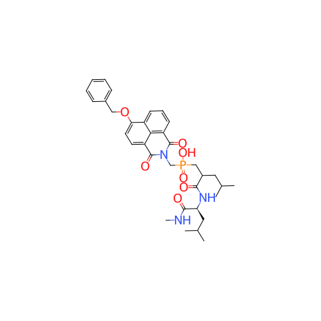 CNC(=O)[C@H](CC(C)C)NC(=O)C(CC(C)C)CP(=O)(O)CN1C(=O)c2cccc3c(OCc4ccccc4)ccc(c23)C1=O